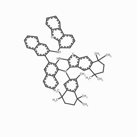 Cc1cc2c(cc1N1c3c(c(-c4cc5ccccc5cc4Nc4cccc5c4oc4ccccc45)cc4ccccc34)Bc3sc4cc5c(cc4c31)C(C)(C)CCC5(C)C)C(C)(C)CCC2(C)C